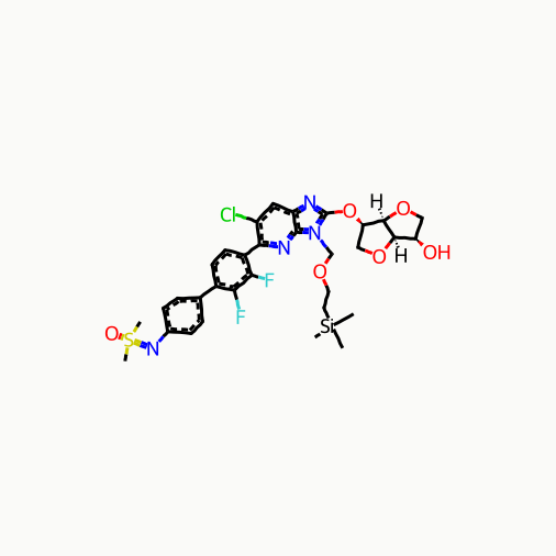 C[Si](C)(C)CCOCn1c(O[C@@H]2CO[C@H]3[C@@H]2OC[C@H]3O)nc2cc(Cl)c(-c3ccc(-c4ccc(N=S(C)(C)=O)cc4)c(F)c3F)nc21